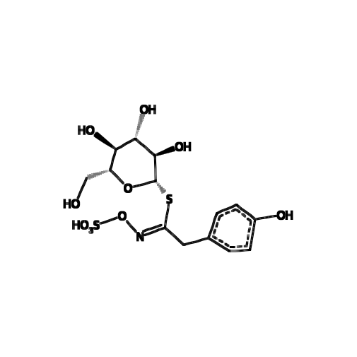 O=S(=O)(O)O/N=C(/Cc1ccc(O)cc1)S[C@@H]1O[C@H](CO)[C@@H](O)[C@H](O)[C@H]1O